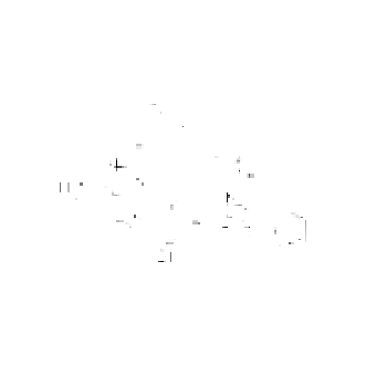 CCCCCCOC(=O)[C@H](C)NP(=O)(OC[C@@H]1C[C@H](O)C(n2cnc3c(N)nc(F)nc32)O1)Oc1ccccc1